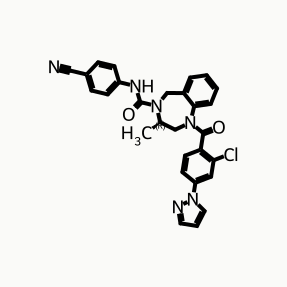 C[C@@H]1CN(C(=O)c2ccc(-n3cccn3)cc2Cl)c2ccccc2CN1C(=O)Nc1ccc(C#N)cc1